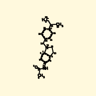 CC(=O)Nc1ccc2c(c1)CCN2Cc1ccc(C(C)C)cc1